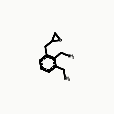 NCc1cccc(CC2CO2)c1CN